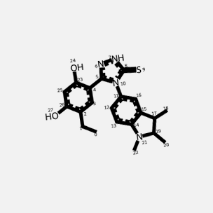 CCc1cc(-c2n[nH]c(=S)n2-c2ccc3c(c2)C(C)C(C)N3C)c(O)cc1O